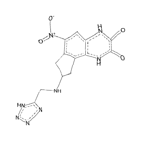 O=c1[nH]c2cc([N+](=O)[O-])c3c(c2[nH]c1=O)CC(NCc1nnn[nH]1)C3